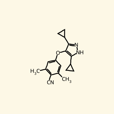 Cc1cc(Oc2c(C3CC3)n[nH]c2C2CC2)cc(C)c1C#N